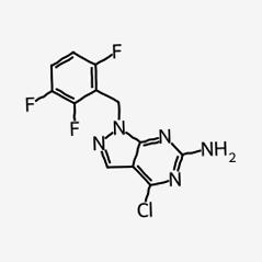 Nc1nc(Cl)c2cnn(Cc3c(F)ccc(F)c3F)c2n1